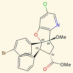 COC(=O)[C@H]1C[C@@]2(OC)c3ncc(Cl)cc3O[C@@]2(c2ccc(Br)cc2)[C@@H]1c1ccccc1